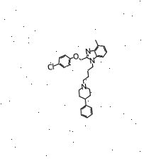 Cc1cccc2c1nc(COc1ccc(Cl)cc1)n2CCCCN1CCC(c2ccccc2)CC1